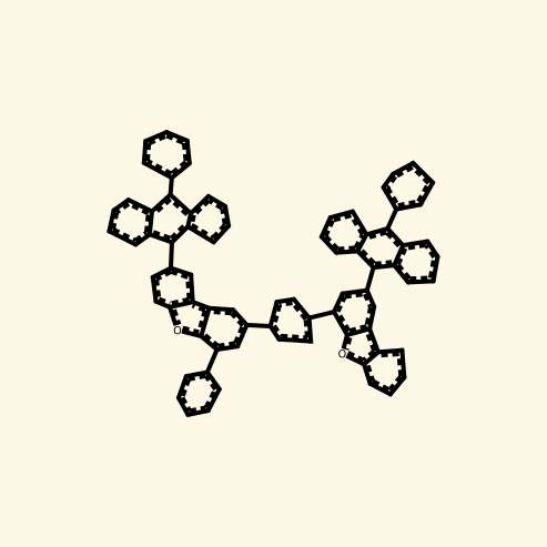 c1ccc(-c2c3ccccc3c(-c3ccc4oc5c(-c6ccccc6)cc(-c6ccc(-c7cc(-c8c9ccccc9c(-c9ccccc9)c9ccccc89)cc8c7oc7ccccc78)cc6)cc5c4c3)c3ccccc23)cc1